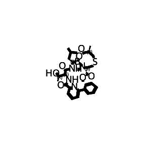 COC(=O)[C@H]1CSC[C@H](C)C(=O)OB([C@H](CC(C)C)NC(=O)[C@@H](NC(=O)c2cccc(-c3ccccc3)n2)[C@@H](C)O)N1C